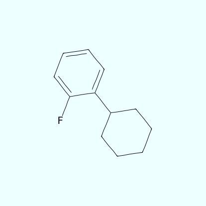 Fc1ccccc1C1CCCCC1